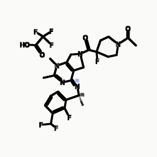 CC(=O)N1CCC(F)(C(=O)N2Cc3c(n(C)c(C)n/c3=N\[C@H](C)c3cccc(C(F)F)c3F)C2)CC1.O=C(O)C(F)(F)F